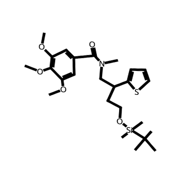 COc1cc(C(=O)N(C)CC(CCO[Si](C)(C)C(C)(C)C)c2cccs2)cc(OC)c1OC